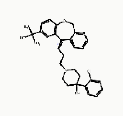 CC(C)(O)c1ccc2c(c1)/C(=C/CCN1CCC(O)(c3ccccc3Cl)CC1)c1cccnc1CO2